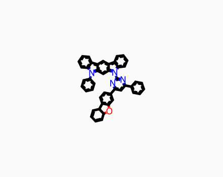 C1=CC2Oc3cc(-c4cc(-c5ccccc5)nc(-n5c6ccccc6c6cc7c8ccccc8n(-c8ccccc8)c7cc65)n4)ccc3C2C=C1